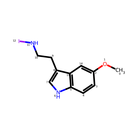 COc1ccc2[nH]cc(CCNI)c2c1